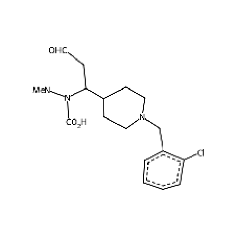 CNN(C(=O)O)C(CC=O)C1CCN(Cc2ccccc2Cl)CC1